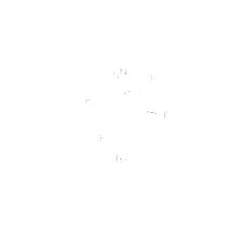 N#CCc1c(F)c(F)c(C#N)c(F)c1F